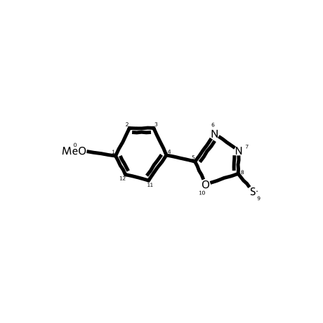 COc1ccc(-c2nnc([S])o2)cc1